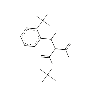 CC(C)(C)OC(=O)C(C(=O)O)C(N)c1ccccc1C(F)(F)F